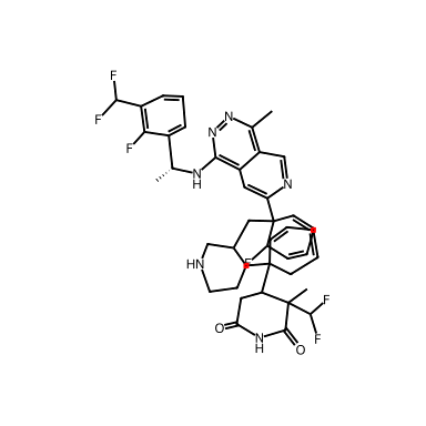 Cc1nnc(N[C@H](C)c2cccc(C(F)F)c2F)c2cc(C3(CC4CNCCC4C4(C5CC(=O)NC(=O)C5(C)C(F)F)C=CC=CC4)C=CC=CC3F)ncc12